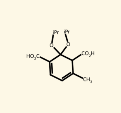 CC1=CC=C(C(=O)O)C(OC(C)C)(OC(C)C)C1C(=O)O